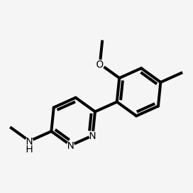 CNc1ccc(-c2ccc(C)cc2OC)nn1